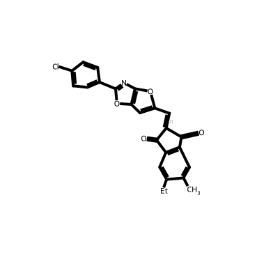 CCc1cc2c(cc1C)C(=O)/C(=C/c1cc3oc(-c4ccc(Cl)cc4)nc3o1)C2=O